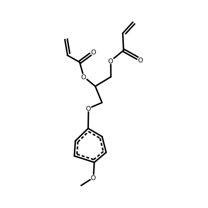 C=CC(=O)OCC(COc1ccc(OC)cc1)OC(=O)C=C